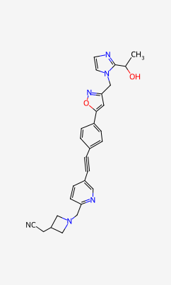 CC(O)c1nccn1Cc1cc(-c2ccc(C#Cc3ccc(CN4CC(CC#N)C4)nc3)cc2)on1